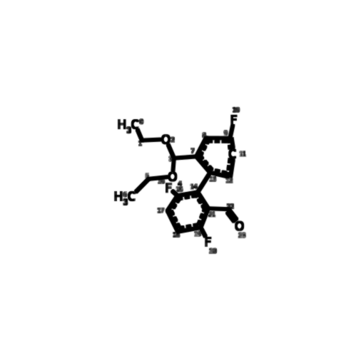 CCOC(OCC)c1cc(F)ccc1-c1c(F)ccc(F)c1C=O